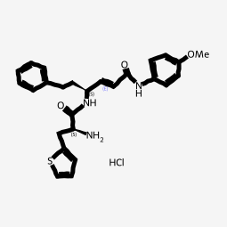 COc1ccc(NC(=O)/C=C/[C@H](CCc2ccccc2)NC(=O)[C@@H](N)Cc2cccs2)cc1.Cl